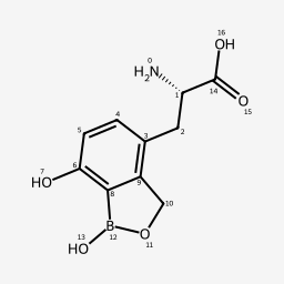 N[C@@H](Cc1ccc(O)c2c1COB2O)C(=O)O